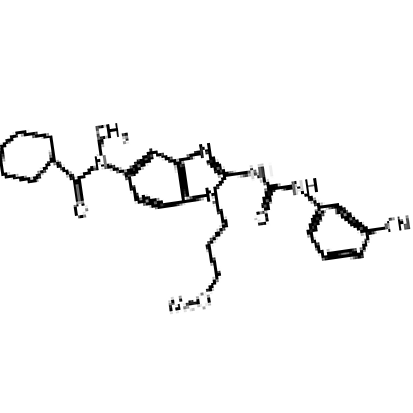 COCCCn1c(NC(=O)Nc2cccc(C#N)c2)nc2cc(N(C)C(=O)C3CCCCC3)ccc21